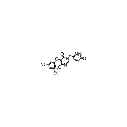 CCc1cc(C#N)cc(Oc2c(C(F)(F)F)ncn(Cc3ccc(=O)[nH]n3)c2=O)c1